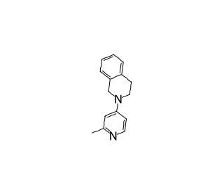 Cc1cc(N2CCc3ccccc3C2)ccn1